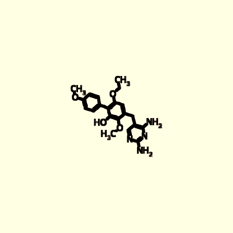 CCOc1cc(Cc2cnc(N)nc2N)c(OC)c(O)c1-c1ccc(OC)cc1